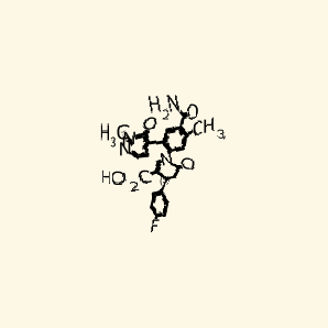 Cc1cc(N2C=C(C(=O)O)[C@H](c3ccc(F)cc3)CC2=O)c(-c2ccnn(C)c2=O)cc1C(N)=O